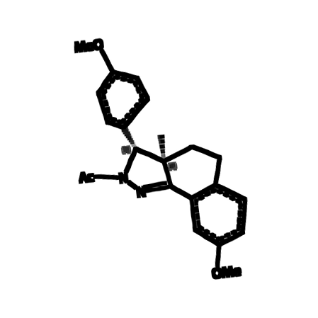 COc1ccc([C@H]2N(C(C)=O)N=C3c4cc(OC)ccc4CC[C@@]32C)cc1